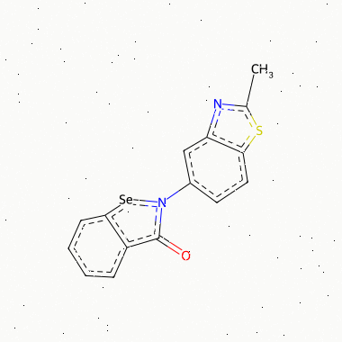 Cc1nc2cc(-n3[se]c4ccccc4c3=O)ccc2s1